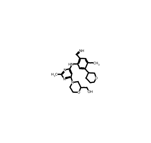 Cc1nc(Nc2cc(C3CCCOC3)c(C)cc2C=N)cc(N2CCOC(CO)C2)n1